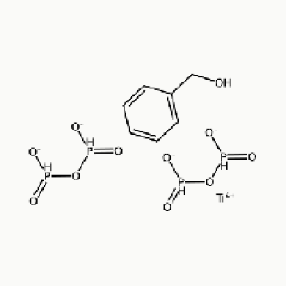 O=[PH]([O-])O[PH](=O)[O-].O=[PH]([O-])O[PH](=O)[O-].OCc1ccccc1.[Ti+4]